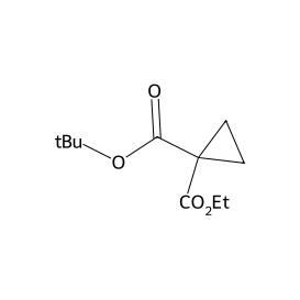 CCOC(=O)C1(C(=O)OC(C)(C)C)CC1